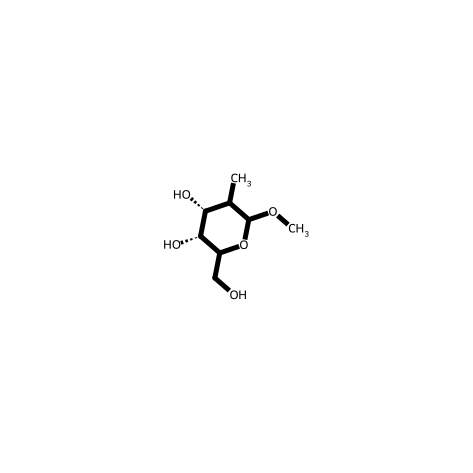 COC1OC(CO)[C@H](O)[C@H](O)C1C